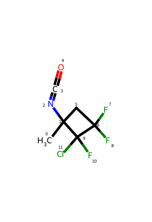 CC1(N=C=O)CC(F)(F)C1(F)Cl